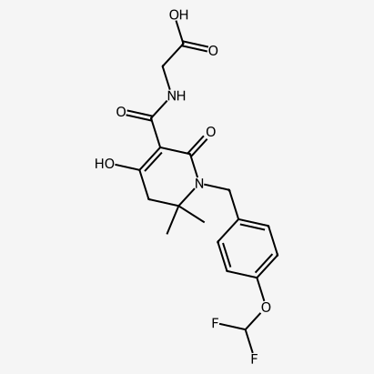 CC1(C)CC(O)=C(C(=O)NCC(=O)O)C(=O)N1Cc1ccc(OC(F)F)cc1